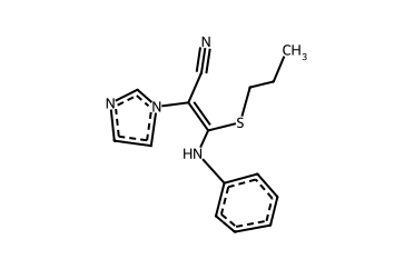 CCCSC(Nc1ccccc1)=C(C#N)n1ccnc1